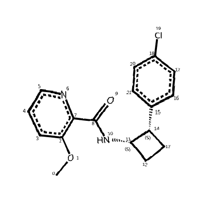 COc1cccnc1C(=O)N[C@H]1CC[C@H]1c1ccc(Cl)cc1